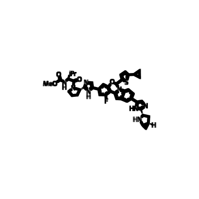 COC(=O)N[C@H](C(=O)N1CCC[C@H]1c1ncc(-c2cc(F)c3c(c2)OC(c2ccc(C4CC4)s2)n2c-3cc3cc(-c4cnc([C@@H]5C[C@H]6CC6N5)[nH]4)ccc32)[nH]1)C(C)C